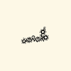 O=C(CN1CCN(c2nc3ccccc3n2Cc2ccc(F)cc2)CC1)N1CCN(C2CCCC2)CC1